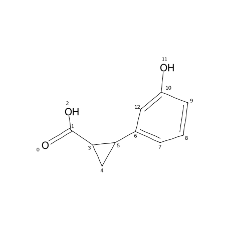 O=C(O)C1CC1c1cccc(O)c1